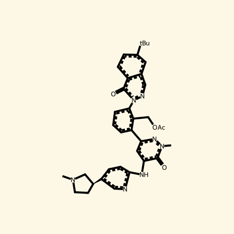 CC(=O)OCc1c(-c2cc(Nc3ccc([C@H]4CCN(C)C4)cn3)c(=O)n(C)n2)cccc1-n1ncc2cc(C(C)(C)C)ccc2c1=O